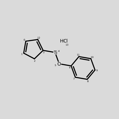 C1=CC[C]([Ti][O]c2ccccc2)=C1.Cl